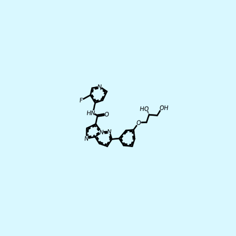 O=C(Nc1ccncc1F)c1cnc2ccc(-c3cccc(OC[C@H](O)CO)c3)nn12